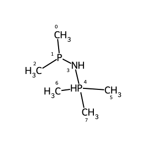 CP(C)N[PH](C)(C)C